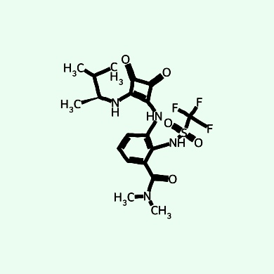 CC(C)[C@H](C)Nc1c(Nc2cccc(C(=O)N(C)C)c2NS(=O)(=O)C(F)(F)F)c(=O)c1=O